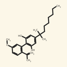 C=C(C)c1ccc(OC)cc1-c1c(O)cc(C(C)(C)CCCCCCC)cc1O